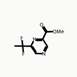 COC(=O)c1cncc(C(C)(F)F)n1